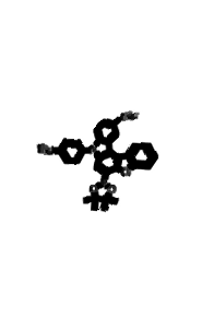 CC(C)(C)c1ccc(-n2c3ccc(C(C)(C)C)cc3c3c4c(oc5ccccc54)c(B4OC(C)(C)C(C)(C)O4)cc32)cc1